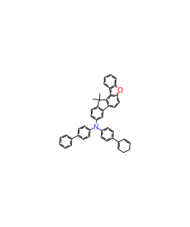 CC1(C)c2ccc(N(c3ccc(C4=CCCC=C4)cc3)c3ccc(-c4ccccc4)cc3)cc2-c2ccc3oc4ccccc4c3c21